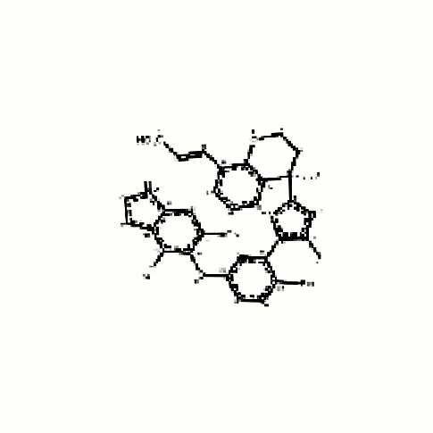 Cn1nc([C@]2(C)CCOc3c(/C=C/C(=O)O)cccc32)nc1-c1cc(Oc2c(F)cc3[nH]ccc3c2F)ccc1F